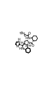 CC(C)(C)OC(=O)N[C@@H]1CCCC[C@@H]1C(=O)N1CC[C@@H]2[C@H](c3ncc[nH]3)Nc3ccccc3[C@@H]21